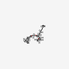 Nc1ncc(-c2ccc(CNC(=O)OCc3ccc(O[C@@H]4O[C@H](C(=O)O)[C@@H](O)[C@H](O)[C@H]4O)c(NC(=O)CCNC(=O)CCCCCN4C(=O)C=CC4=O)c3)cc2)nc1C(=O)Nc1cnccc1N1CCOCC1